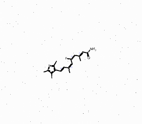 CC(=C/C(F)=C\C(C)=C\C(N)=O)/C=C/c1c(C)sc(C)c1C